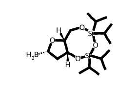 B[C@H]1C[C@H]2O[Si](C(C)C)(C(C)C)O[Si](C(C)C)(C(C)C)OC[C@H]2O1